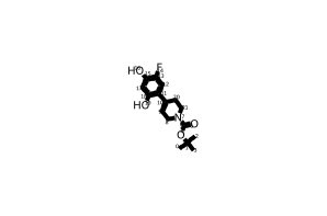 CC(C)(C)OC(=O)N1CC=C(c2cc(F)c(O)cc2O)CC1